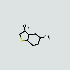 CC1CCC2SCC(C)C2C1